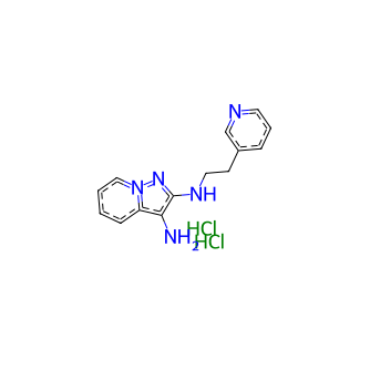 Cl.Cl.Nc1c(NCCc2cccnc2)nn2ccccc12